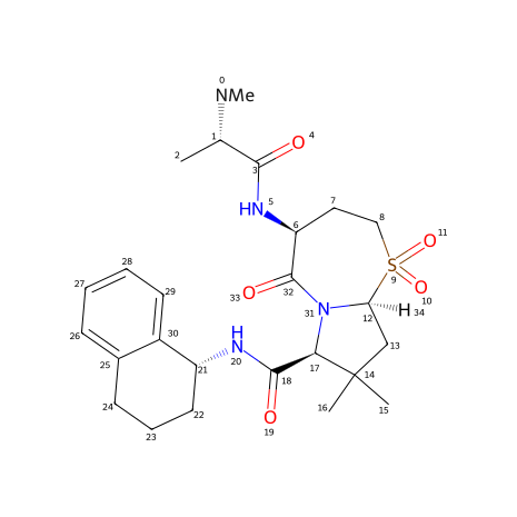 CN[C@@H](C)C(=O)N[C@H]1CCS(=O)(=O)[C@H]2CC(C)(C)[C@@H](C(=O)N[C@@H]3CCCc4ccccc43)N2C1=O